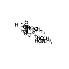 CC(C)C[C@@H]1COc2cc(-c3ccccc3C(C)C)nc(n2)NS(=O)(=O)c2cccc(c2)C1C1CC2(CCN(C(O)OC(C)(C)C)CC2)C1